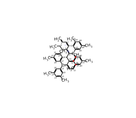 C=C/C=C\C(CCC)=C(\Cc1c(CC)cccc1P(c1cc(C)cc(C)c1)c1cc(C)cc(C)c1)P(c1cc(C)cc(C)c1)c1cc(C)cc(C)c1